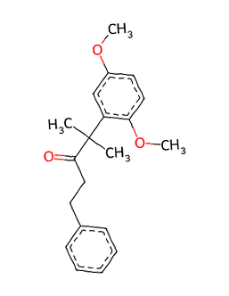 COc1ccc(OC)c(C(C)(C)C(=O)CCc2ccccc2)c1